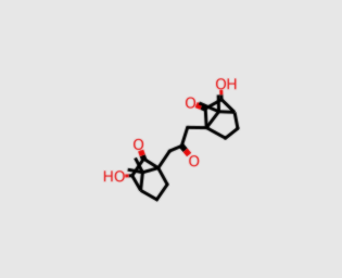 CC1(C)C2CCC1(CC(=O)CC13CCC(C(O)C1=O)C3(C)C)C(=O)C2O